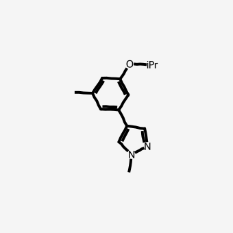 Cc1cc(OC(C)C)cc(-c2cnn(C)c2)c1